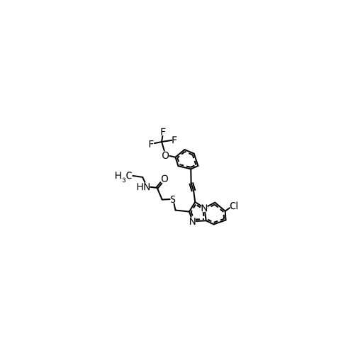 CCNC(=O)CSCc1nc2ccc(Cl)cn2c1C#Cc1cccc(OC(F)(F)F)c1